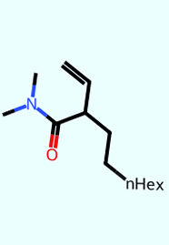 C=CC(CCCCCCCC)C(=O)N(C)C